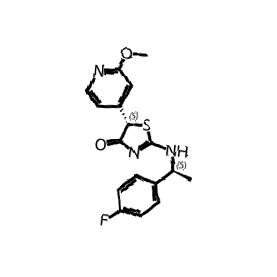 COc1cc([C@@H]2SC(N[C@@H](C)c3ccc(F)cc3)=NC2=O)ccn1